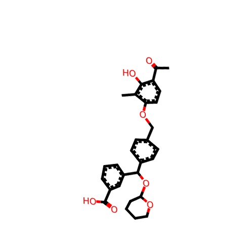 CC(=O)c1ccc(OCc2ccc(C(OC3CCCCO3)c3cccc(C(=O)O)c3)cc2)c(C)c1O